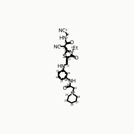 CCn1c(=C(C#N)C(=O)NCC#N)sc(=CNc2cccc(NC(=O)CN3CCCCC3)c2)c1=O